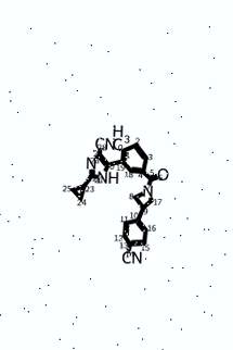 Cc1ccc(C(=O)N2CC(c3ccc(C#N)cc3)C2)cc1-c1[nH]c(C2CC2)nc1C#N